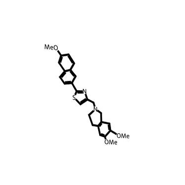 COc1ccc2cc(-c3nc(CN4CCc5cc(OC)c(OC)cc5C4)cs3)ccc2c1